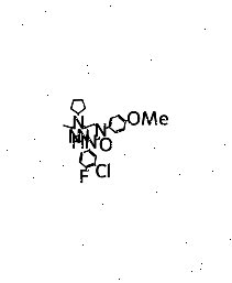 COc1ccc(N(Cc2nnc(C)n2C2CCCC2)C(=O)Nc2ccc(F)c(Cl)c2)cc1